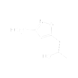 CCOC(=O)c1cc(CC(C)O)on1